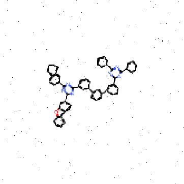 c1ccc(-c2nc(-c3ccccc3)nc(-c3cccc(-c4cccc(-c5cccc(-c6nc(-c7ccc8ccccc8c7)nc(-c7ccc8c(c7)oc7ccccc78)n6)c5)c4)c3)n2)cc1